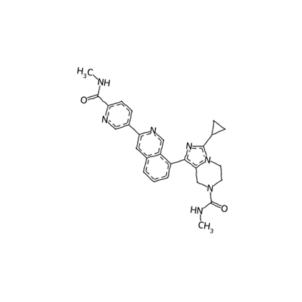 CNC(=O)c1ccc(-c2cc3cccc(-c4nc(C5CC5)n5c4CN(C(=O)NC)CC5)c3cn2)cn1